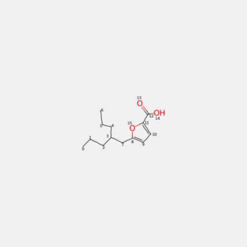 CCCC(CCC)Cc1ccc(C(=O)O)o1